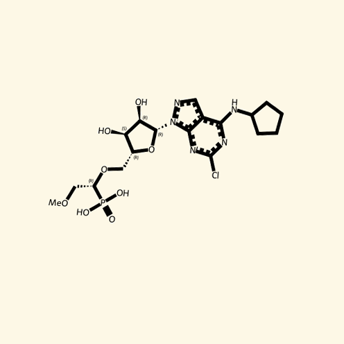 COC[C@H](OC[C@H]1O[C@@H](n2ncc3c(NC4CCCC4)nc(Cl)nc32)[C@H](O)[C@@H]1O)P(=O)(O)O